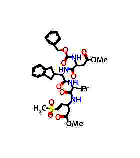 COC(=O)CC(/C=C/S(C)(=O)=O)NC(=O)[C@@H](NC(=O)[C@@H](NC(=O)[C@H](CC(=O)OC)NC(=O)OCc1ccccc1)C1Cc2ccccc2C1)C(C)C